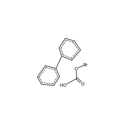 O=C(O)OBr.c1ccc(-c2ccccc2)cc1